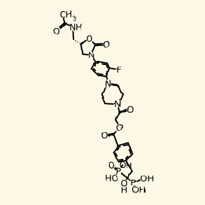 CC(=O)NC[C@H]1CN(c2ccc(N3CCN(C(=O)COC(=O)c4ccc(CC(O)(P(O)O)P(=O)(O)O)cc4)CC3)c(F)c2)C(=O)O1